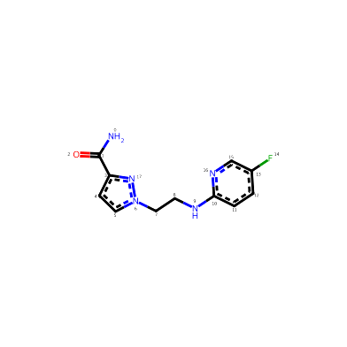 NC(=O)c1[c]cn(CCNc2ccc(F)cn2)n1